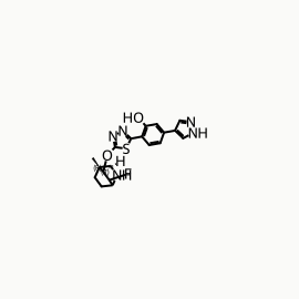 C[C@@]12CCC(NC1)C(F)[C@@H]2Oc1nnc(-c2ccc(-c3cn[nH]c3)cc2O)s1